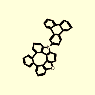 c1ccc2c(c1)c1ccccc1c1cc(-n3c4cccc5c6ccccc6c6cccc7oc8ccc3c(c8c76)c54)ccc21